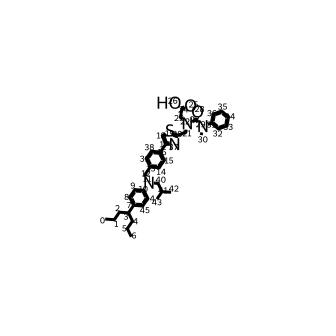 CCCC(CCC)c1ccc(N(Cc2ccc(-c3csc(CN(CC(=O)O)C(=O)N(C)c4ccccc4)n3)cc2)CC(C)C)cc1